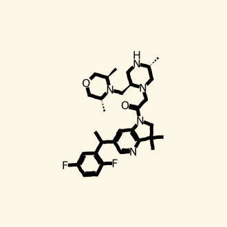 CC(c1cnc2c(c1)N(C(=O)CN1C[C@@H](C)NC[C@@H]1CN1[C@H](C)COC[C@H]1C)CC2(C)C)c1cc(F)ccc1F